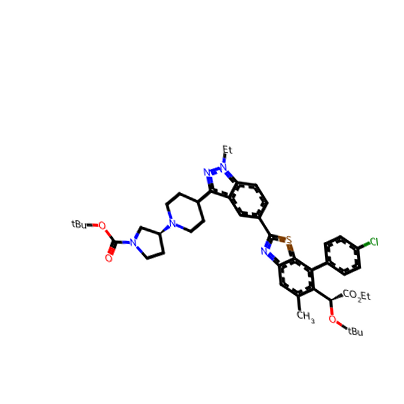 CCOC(=O)[C@@H](OC(C)(C)C)c1c(C)cc2nc(-c3ccc4c(c3)c(C3CCN([C@H]5CCN(C(=O)OC(C)(C)C)C5)CC3)nn4CC)sc2c1-c1ccc(Cl)cc1